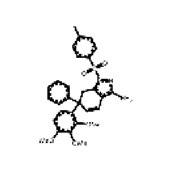 COc1ccc(C2(c3ccccc3)C=Cc3c(N)nn(S(=O)(=O)c4ccc(C)cc4)c3C2)c(OC)c1OC